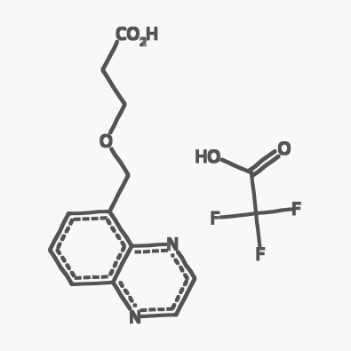 O=C(O)C(F)(F)F.O=C(O)CCOCc1cccc2nccnc12